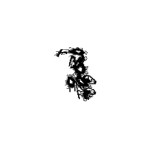 CC(F)(F)C(=O)N[C@@H]1CC(=O)N(c2ccc3c(cnn3Cc3cccc(F)c3)c2)[C@H]1c1ccccc1